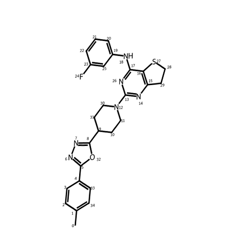 Cc1ccc(-c2nnc(C3CCN(c4nc5c(c(Nc6cccc(F)c6)n4)SCC5)CC3)o2)cc1